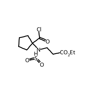 CCOC(=O)CCN([SH](=O)=O)C1(C(=O)Cl)CCCC1